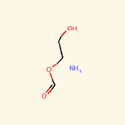 N.O=COCCO